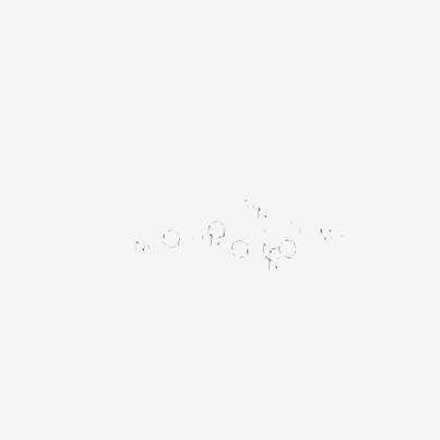 COC(=O)c1ccc2nc(Cc3ccc(-c4cccc(OCc5ccc(C#N)cc5F)n4)cc3F)n(C[C@H]3CCCN(C(C)=O)C3)c2c1